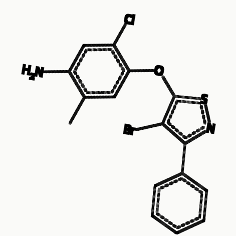 Cc1cc(Oc2snc(-c3ccccc3)c2Br)c(Cl)cc1N